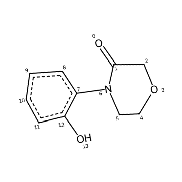 O=C1COCCN1c1ccccc1O